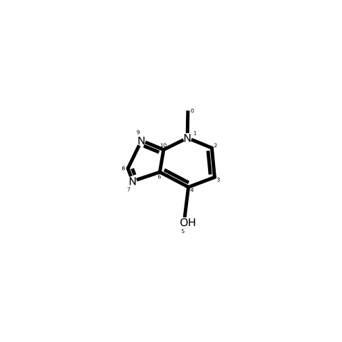 Cn1ccc(O)c2ncnc1-2